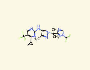 Cc1nn(C(C)(C)c2ncn(C(F)F)n2)cc1Nc1ncc(C(F)(F)F)c(C2CC2)n1